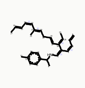 C=C\C=C/C(=C/NC(C)c1ccc(C)cc1)C(/C=CC/C=C(C)/C=C\C=CC)=C/C